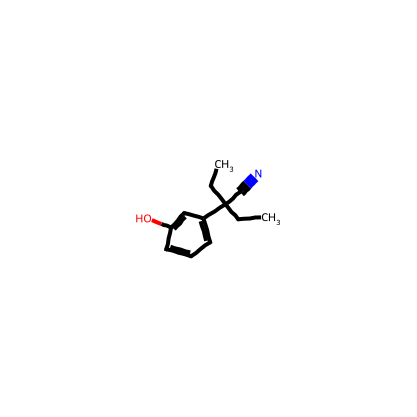 CCC(C#N)(CC)c1cccc(O)c1